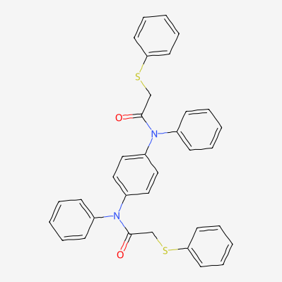 O=C(CSc1ccccc1)N(c1ccccc1)c1ccc(N(C(=O)CSc2ccccc2)c2ccccc2)cc1